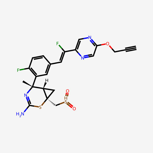 C#CCOc1cnc(/C(F)=C/c2ccc(F)c([C@@]3(C)N=C(N)S[C@]4(C[SH](=O)=O)C[C@H]43)c2)cn1